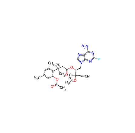 C#C[C@](C)(OC)[C@H](Cn1cnc2c(N)nc(F)nc21)OC(=O)CC(C)(C)c1c(C)cc(C)cc1OC(C)=O